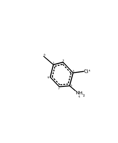 Cc1[c]c(Cl)c(N)cc1